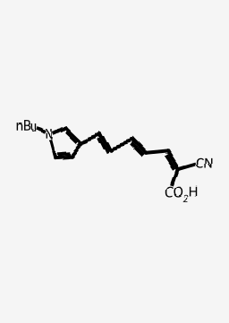 CCCCn1ccc(C=CC=CC=C(C#N)C(=O)O)c1